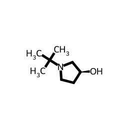 CC(C)(C)N1CC[C@H](O)C1